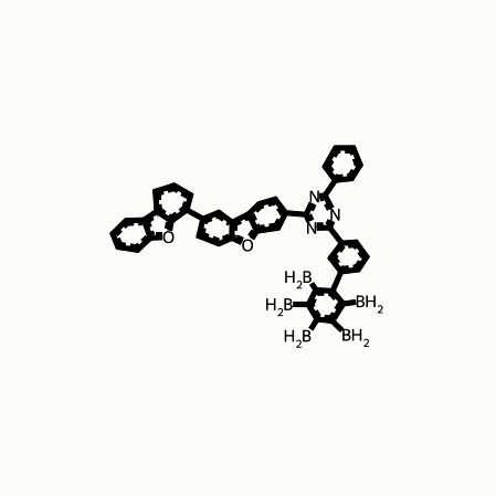 Bc1c(B)c(B)c(-c2cccc(-c3nc(-c4ccccc4)nc(-c4ccc5c(c4)oc4ccc(-c6cccc7c6oc6ccccc67)cc45)n3)c2)c(B)c1B